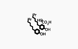 CC(C)CCCCCc1ccc(O)cc1.CC(C)CCCCCc1ccc(O)cc1.O=C(O)O